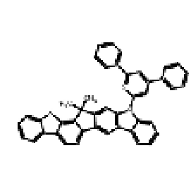 CC1(C)c2cc3c(cc2-c2ccc4c(sc5ccccc54)c21)c1ccccc1n3-c1cc(-c2ccccc2)cc(-c2ccccc2)n1